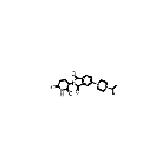 CC(C)N1CCN(c2ccc3c(c2)C(=O)N(C2CCC(=O)NC2=O)C3=O)CC1